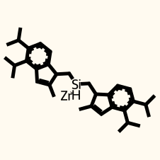 CC1=Cc2c(ccc(C(C)C)c2C(C)C)C1C[SiH]([Zr])CC1C(C)=Cc2c1ccc(C(C)C)c2C(C)C